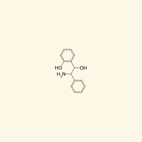 NC(c1ccccc1)C(O)c1ccccc1O